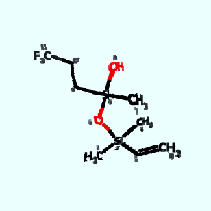 C=C[Si](C)(C)O[Si](C)(O)CCC(F)(F)F